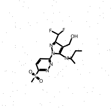 CCC(C)Nc1c(CO)c(C(F)F)nn1-c1ccc(S(C)(=O)=O)nn1